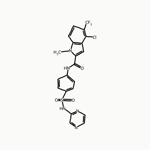 Cn1c(C(=O)Nc2ccc(S(=O)(=O)Nc3cnccn3)cc2)cc2c(Cl)c(C(F)(F)F)ccc21